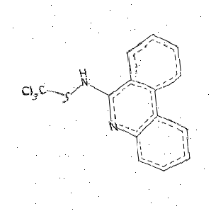 ClC(Cl)(Cl)SNc1nc2ccccc2c2ccccc12